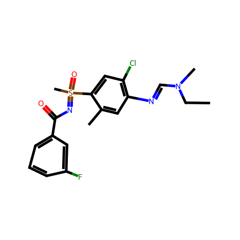 CCN(C)/C=N/c1cc(C)c(S(C)(=O)=NC(=O)c2cccc(F)c2)cc1Cl